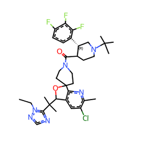 CCn1ncnc1C(C)(C)C1OC2(CCN(C(=O)C3CCN(C(C)(C)C)C[C@H]3c3ccc(F)c(F)c3F)CC2)c2nc(C)c(Cl)cc21